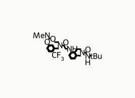 CNC(=O)OCCN(Cc1ccccc1C(F)(F)F)C(=O)CNc1cccc2c1CCN(C(=O)NC(C)(C)C)C2